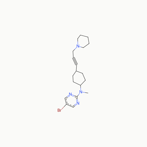 CN(c1ncc(Br)cn1)C1CCC(C#CCN2CCCCC2)CC1